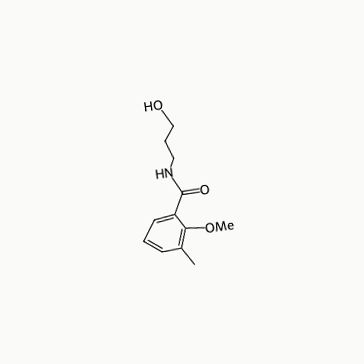 COc1c(C)cccc1C(=O)NCCCO